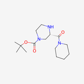 CC(C)(C)OC(=O)N1CCN[C@H](C(=O)N2CCCCC2)C1